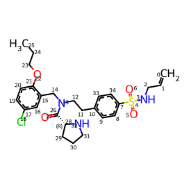 C=CCNS(=O)(=O)c1ccc(CCN(Cc2cc(Cl)ccc2OCCC)C(=O)[C@H]2CCCN2)cc1